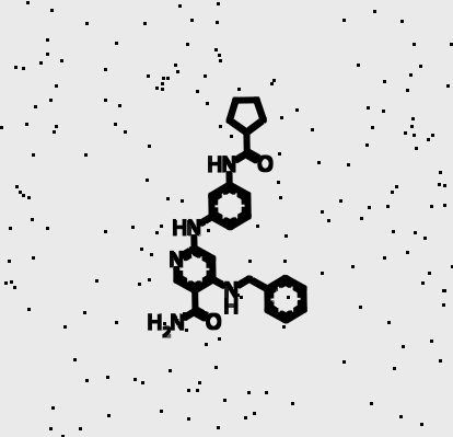 NC(=O)c1cnc(Nc2cccc(NC(=O)C3CCCC3)c2)cc1NCc1ccccc1